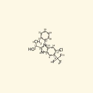 CC(O)c1nc2cc(C(F)(F)F)c(Cl)cc2n1-c1c[c]ccc1